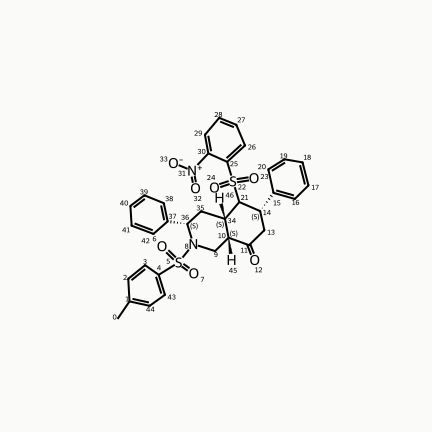 Cc1ccc(S(=O)(=O)N2C[C@H]3C(=O)C[C@@H](c4ccccc4)C(S(=O)(=O)c4ccccc4[N+](=O)[O-])[C@H]3C[C@H]2c2ccccc2)cc1